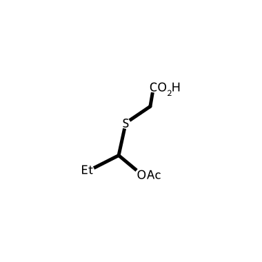 CCC(OC(C)=O)SCC(=O)O